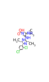 CCN[C@H]1CN(C(=O)O)C[C@H]1Nc1nc(CC)c(-c2ccc(Cl)cc2Cl)nc1CC